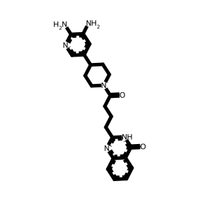 Nc1cc(C2CCN(C(=O)CCCc3nc4ccccc4c(=O)[nH]3)CC2)cnc1N